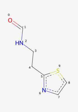 O=[C]NCCc1nccs1